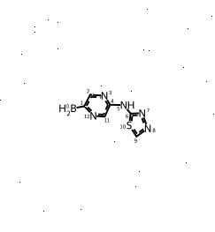 Bc1cnc(Nc2nncs2)cn1